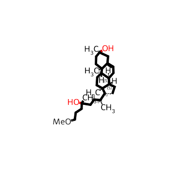 COCCCC(C)(O)CC[C@@H](C)[C@H]1CC[C@H]2[C@@H]3CC=C4C[C@@](C)(O)CC[C@]4(C)[C@H]3CC[C@]12C